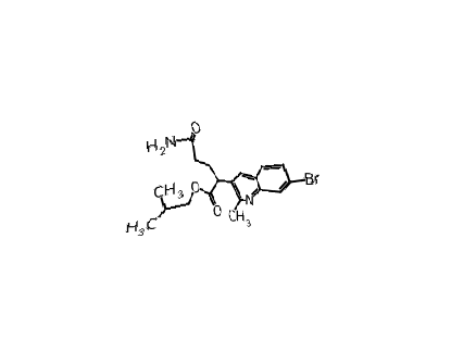 Cc1nc2cc(Br)ccc2cc1C(CCC(N)=O)C(=O)OCC(C)C